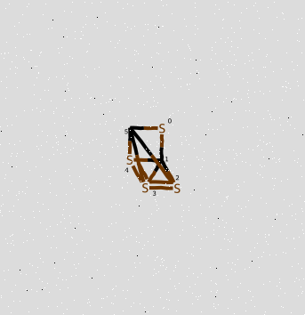 S1C23S4=S25=S3C145